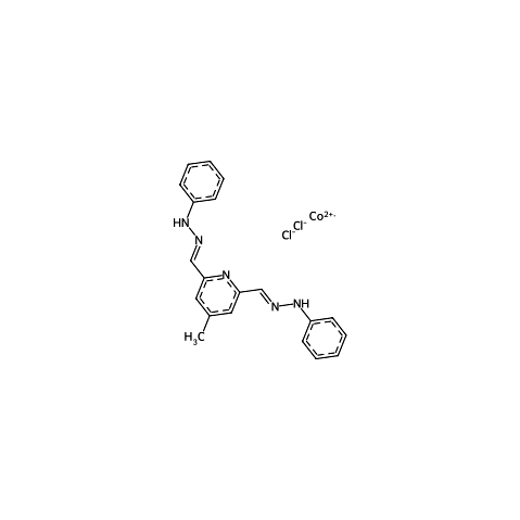 Cc1cc(C=NNc2ccccc2)nc(C=NNc2ccccc2)c1.[Cl-].[Cl-].[Co+2]